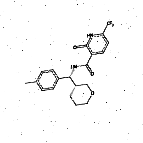 Cc1ccc([C@H](NC(=O)c2ccc(C(F)(F)F)[nH]c2=O)[C@H]2CCCOC2)cc1